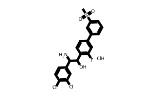 CS(=O)(=O)c1cccc(-c2ccc(C(O)C(N)c3ccc(Cl)c(Cl)c3)c(F)c2)c1.Cl